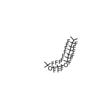 CC(C)C(F)(F)C(F)(F)C(F)(F)C(F)(F)C(F)(F)C(F)(F)OC(F)(F)C(F)(F)C(F)(F)OC(C)(C)C